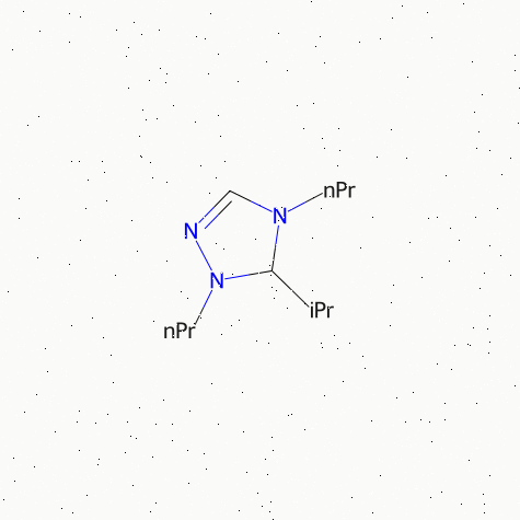 CCCN1C=NN(CCC)C1C(C)C